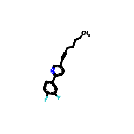 CCCCCC#Cc1ccc(-c2ccc(F)c(F)c2)nc1